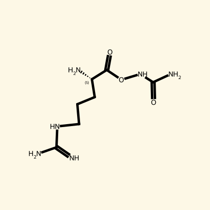 N=C(N)NCCC[C@H](N)C(=O)ONC(N)=O